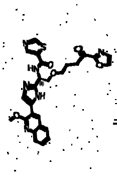 COc1nc2ccccc2cc1-c1cnc([C@H](COCCCC(=O)c2ncco2)NC(=O)c2cncs2)[nH]1